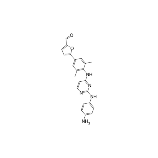 Cc1cc(-c2ccc(C=O)o2)cc(C)c1Nc1ccnc(Nc2ccc(N)cc2)n1